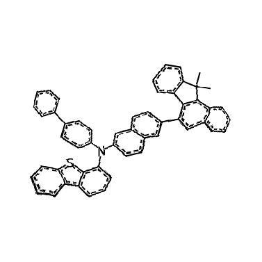 CC1(C)c2ccccc2-c2c(-c3ccc4cc(N(c5ccc(-c6ccccc6)cc5)c5cccc6c5sc5ccccc56)ccc4c3)cc3ccccc3c21